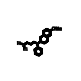 CCN(CC)CCCN(c1ccccc1)C1CCc2cc(OC)ccc2C1